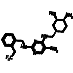 N[C@H]1CC[C@H](CNc2nc(NCc3ccccc3CC(F)(F)F)ncc2[N+](=O)[O-])C[C@H]1O